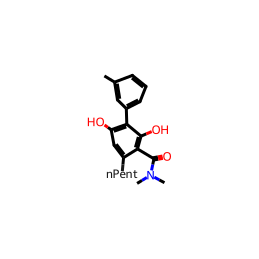 CCCCCc1cc(O)c(-c2cccc(C)c2)c(O)c1C(=O)N(C)C